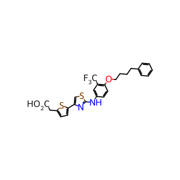 O=C(O)Cc1ccc(-c2csc(Nc3ccc(OCCCCc4ccccc4)c(C(F)(F)F)c3)n2)s1